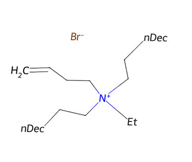 C=CCC[N+](CC)(CCCCCCCCCCCC)CCCCCCCCCCCC.[Br-]